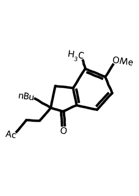 CCCCC1(CCC(C)=O)Cc2c(ccc(OC)c2C)C1=O